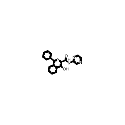 O=C(Nc1cnccn1)c1nc(-c2ccccc2)c2ccccc2c1O